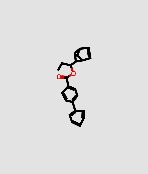 CCC(OC(=O)c1ccc(-c2ccccc2)cc1)C1CC2C=CC1C2